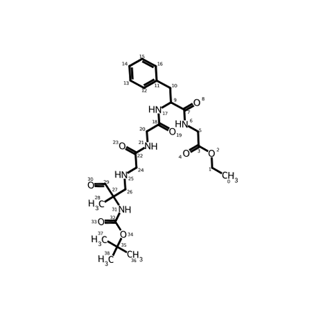 CCOC(=O)CNC(=O)C(Cc1ccccc1)NC(=O)CNC(=O)CNCC(C)(C=O)NC(=O)OC(C)(C)C